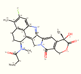 CC[C@@]1(O)C(=O)OCc2c1cc1n(c2=O)Cc2c-1nc1cc(F)c(C)c3c1c2[C@@H](N(C)C(=O)CNC)CC3